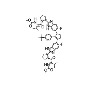 COC(=O)N[C@H](C(=O)N1CCC[C@H]1c1nc2cc(F)c(C3=C(c4ccc(C(C)(C)C)cc4)C(c4cc5[nH]c([C@@H]6CCCN6C(=O)[C@@H](NC(=O)OC)C(C)C)nc5cc4F)CC3)cc2[nH]1)C(C)C